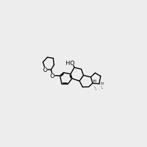 C[C@H]1CCC2C3CC(O)c4cc(OC5CCCCO5)ccc4C3CC[C@@]21C